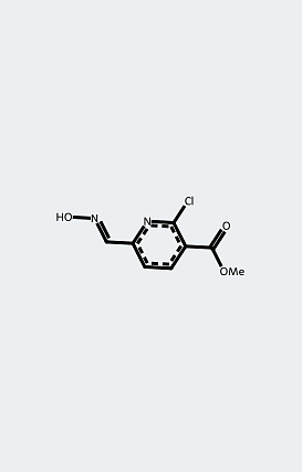 COC(=O)c1ccc(/C=N/O)nc1Cl